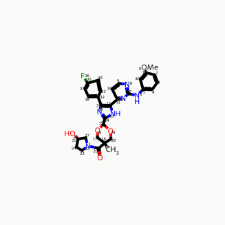 COc1cccc(Nc2nccc(-c3[nH]c(C4OCC(C)(C(=O)N5CCC(O)C5)CO4)nc3-c3ccc(F)cc3)n2)c1